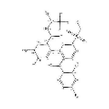 CCS(=O)(=O)c1ccc(C(=O)c2ccc(F)cc2Cl)c(-c2cn(C)c(=O)cc2[C@H](C)N[S+]([O-])C(C)(C)C)c1